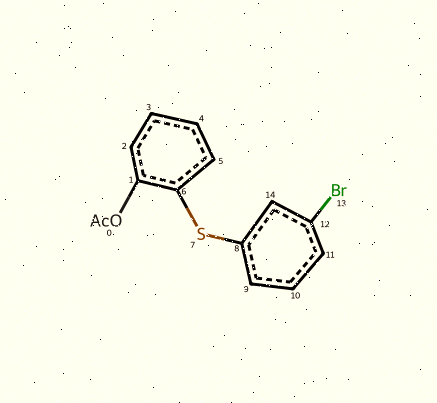 CC(=O)Oc1ccccc1Sc1cccc(Br)c1